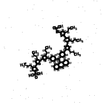 CCCc1cc(-c2sc(-c3sc(O[PH](=O)O)cc3CCC)cc2CCC)sc1-c1ccc(N(c2ccc(-c3sc(-c4sc(-c5sc(P(=O)(O)O)cc5CCC)cc4CCC)cc3CCC)cc2)c2c3ccccc3cc3ccccc23)cc1